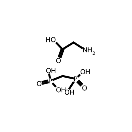 NCC(=O)O.O=P(O)(O)CP(=O)(O)O